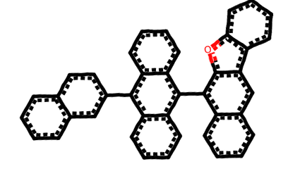 c1ccc2cc(-c3c4ccccc4c(-c4c5ccccc5cc5c4oc4ccccc45)c4ccccc34)ccc2c1